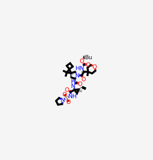 C=C[C@@H]1C[C@]1(NC(=O)[C@@H]1C[C@@]2(CN1C(=O)[C@@H](NC(=O)OC(C)(C)C)C1(C)CCOCC1)C(C)(C)C21CCC1)C(=O)NS(=O)(=O)N1CCCC1